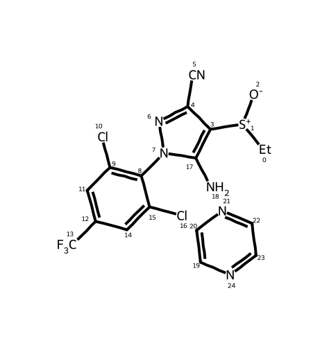 CC[S+]([O-])c1c(C#N)nn(-c2c(Cl)cc(C(F)(F)F)cc2Cl)c1N.c1cnccn1